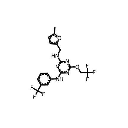 Cc1ccc(CNc2nc(Nc3cccc(C(F)(F)F)c3)nc(OCC(F)(F)F)n2)o1